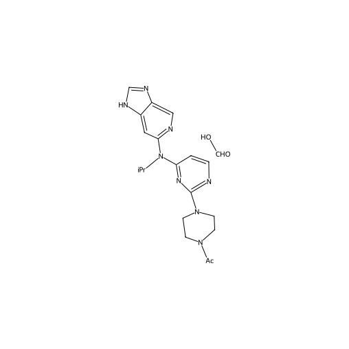 CC(=O)N1CCN(c2nccc(N(c3cc4[nH]cnc4cn3)C(C)C)n2)CC1.O=CO